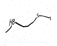 CBCSI